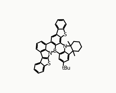 CC(C)(C)c1cc2c3c(c1)C1(C)CCCCC1(C)N3c1c3c(cc4c1sc1ccccc14)-c1cccc4c5c6ccccc6sc5n(c14)B23